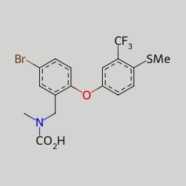 CSc1ccc(Oc2ccc(Br)cc2CN(C)C(=O)O)cc1C(F)(F)F